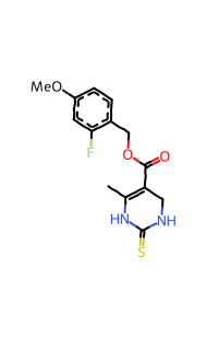 COc1ccc(COC(=O)C2=C(C)NC(=S)NC2)c(F)c1